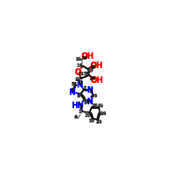 C[C@H](Nc1ncnc2c1ncn2[C@@H]1O[C@H](CO)[C@@H](O)[C@H]1O)c1ccccc1